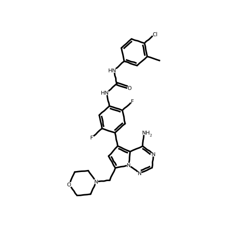 Cc1cc(NC(=O)Nc2cc(F)c(-c3cc(CN4CCOCC4)n4ncnc(N)c34)cc2F)ccc1Cl